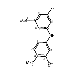 CNc1cc(C)nc(Nc2ccc(OC)c(O)c2)n1